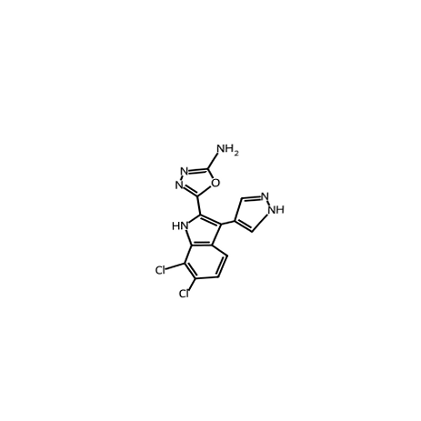 Nc1nnc(-c2[nH]c3c(Cl)c(Cl)ccc3c2-c2cn[nH]c2)o1